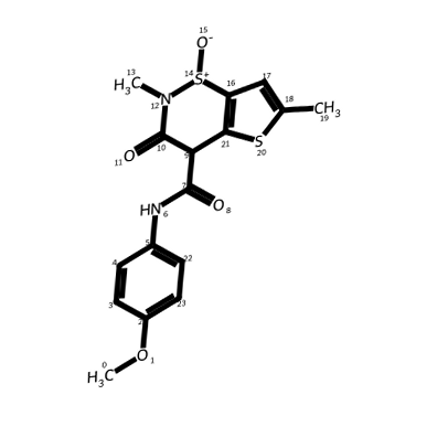 COc1ccc(NC(=O)C2C(=O)N(C)[S+]([O-])c3cc(C)sc32)cc1